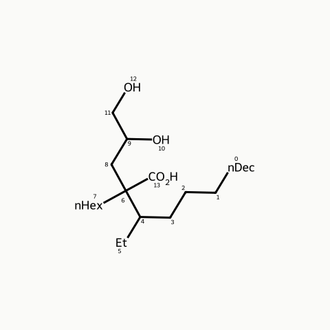 CCCCCCCCCCCCCC(CC)C(CCCCCC)(CC(O)CO)C(=O)O